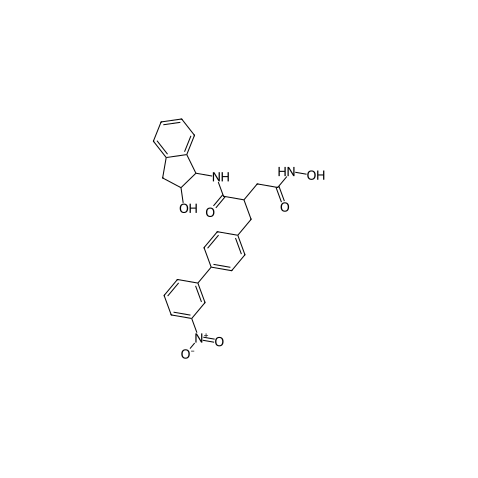 O=C(CC(Cc1ccc(-c2cccc([N+](=O)[O-])c2)cc1)C(=O)NC1c2ccccc2CC1O)NO